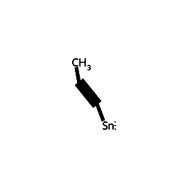 CC#[C][Sn]